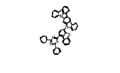 c1ccc(-c2nc(-c3ccccc3)nc(-c3ccc(-n4c5ccccc5c5cc6c7cccc8c9ccccc9n(c6cc54)c87)c4sc5ccccc5c34)n2)cc1